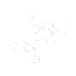 c1ccc(-c2nc(-c3ccccc3)nc(-c3ccc4c(c3)c3ccccc3n3c5ccc6ccccc6c5c5ccc6c7c8ccccc8ccc7n4c6c53)n2)cc1